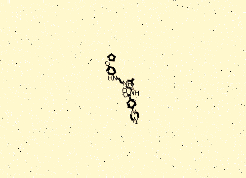 CC(C)C[C@H](NC(=O)c1ccc(N2CCN(C)CC2)cc1)C(=O)NCCNc1ccc(OC2CCCC2)cc1